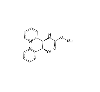 CC(C)(C)OC(=O)N[C@H](c1ccccn1)[C@@H](O)c1ccccn1